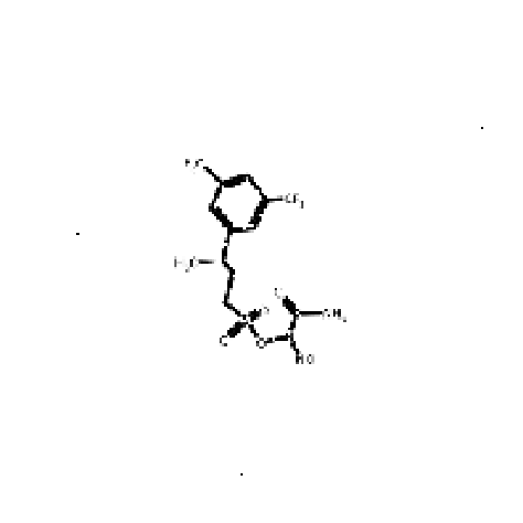 C[C@H](CCS(=O)(=O)ON(N=O)C(N)=O)c1cc(C(F)(F)F)cc(C(F)(F)F)c1